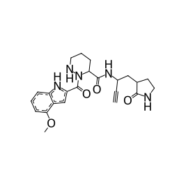 C#CC(CC1CCNC1=O)NC(=O)C1CCCNN1C(=O)c1cc2c(OC)cccc2[nH]1